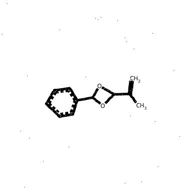 C=C(C)C1OC(c2ccccc2)O1